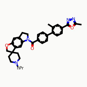 CCCN1CCC2(CC1)COc1cc3c(cc12)N(C(=O)c1ccc(-c2ccc(-c4nnc(C)o4)cc2C)cc1)CC3